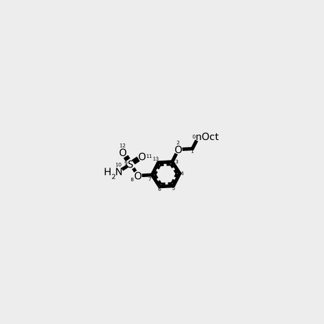 CCCCCCCCCOc1cccc(OS(N)(=O)=O)c1